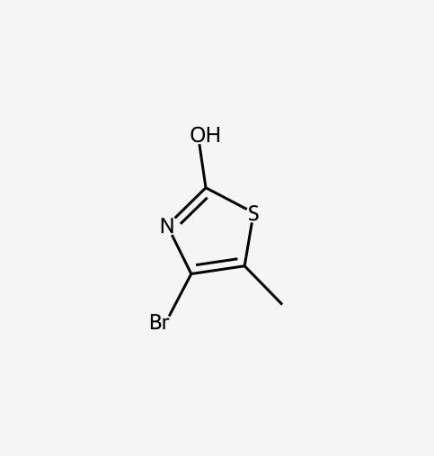 Cc1sc(O)nc1Br